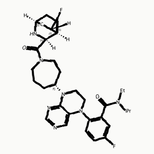 CCN(C(=O)c1cc(F)ccc1N1CCN([C@@H]2CCCN(C(=O)[C@H]3N[C@H]4CC[C@@H]3[C@@H](F)C4)CC2)c2ncncc21)C(C)C